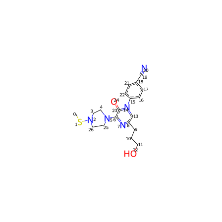 CSN1CCN(c2nc(CCCO)cn(-c3ccc(C#N)cc3)c2=O)CC1